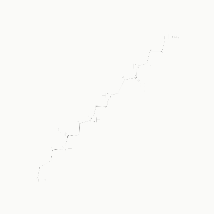 CCCCCCCCCCCCCNC(=O)CCNCCNCCC(=O)NCCCCCCCCCCCCC